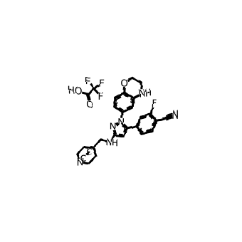 N#Cc1ccc(-c2cc(NCC34CCN(CC3)CC4)nn2-c2ccc3c(c2)NCCO3)cc1F.O=C(O)C(F)(F)F